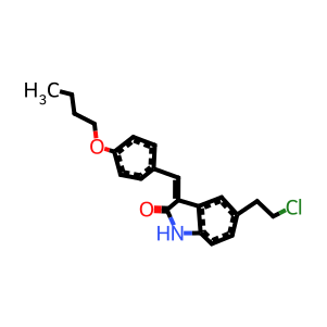 CCCCOc1ccc(C=C2C(=O)Nc3ccc(CCCl)cc32)cc1